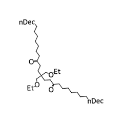 CCCCCCCCCCCCCCCCCC(=O)CCC(CCC(=O)CCCCCCCCCCCCCCCCC)(COCC)COCC